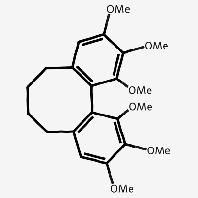 COc1cc2c(c(OC)c1OC)-c1c(cc(OC)c(OC)c1OC)CCCC2